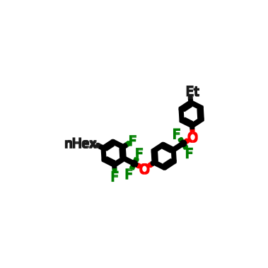 CCCCCCc1cc(F)c(C(F)(F)Oc2ccc(C(F)(F)Oc3ccc(CC)cc3)cc2)c(F)c1